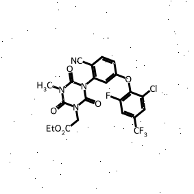 CCOC(=O)Cn1c(=O)n(C)c(=O)n(-c2cc(Oc3c(F)cc(C(F)(F)F)cc3Cl)ccc2C#N)c1=O